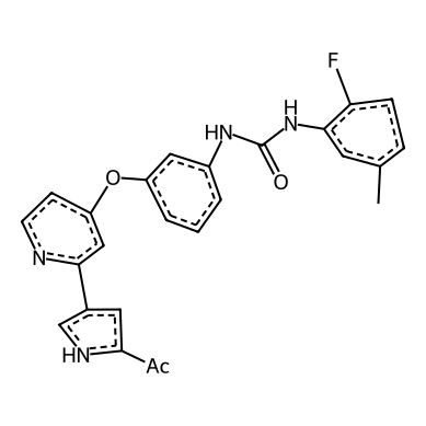 CC(=O)c1cc(-c2cc(Oc3cccc(NC(=O)Nc4cc(C)ccc4F)c3)ccn2)c[nH]1